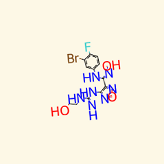 N=C(NCCO)Nc1nonc1/C(=N/O)Nc1ccc(F)c(Br)c1